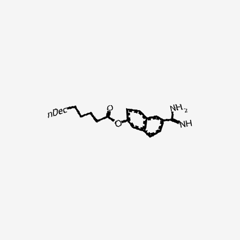 CCCCCCCCCCCCCCC(=O)Oc1ccc2cc(C(=N)N)ccc2c1